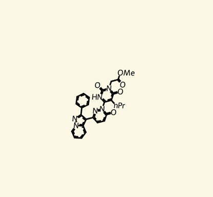 CCCc1c(-n2nc(-c3c(-c4ccccc4)nn4ccccc34)ccc2=O)[nH]c(=O)n(CC(=O)OC)c1=O